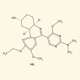 Br.CCOc1cc2c(cc1OC)C(c1cnc(N(C)C)nc1OC)=N[C@@H]1CC[C@@H](O)C[C@H]21